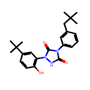 CC(C)(C)Cc1cccc(-n2c(=O)[nH]n(-c3cc(C(C)(C)C)ccc3O)c2=O)c1